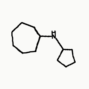 C1CCCC(NC2CCCC2)CC1